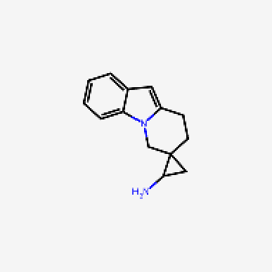 NC1CC12CCc1cc3ccccc3n1C2